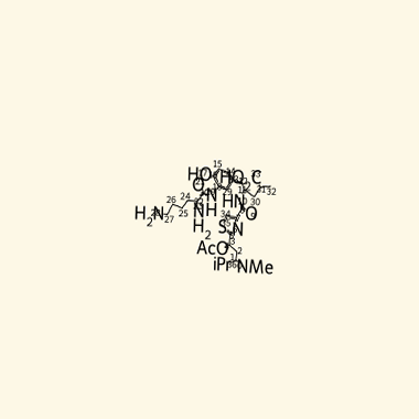 CN[C@H](C[C@@H](OC(C)=O)c1nc(C(=O)N[C@@H](Cc2ccc(O)c(NC(=O)[C@@H](N)CCCCN)c2)CC(C)C(=O)O)cs1)C(C)C